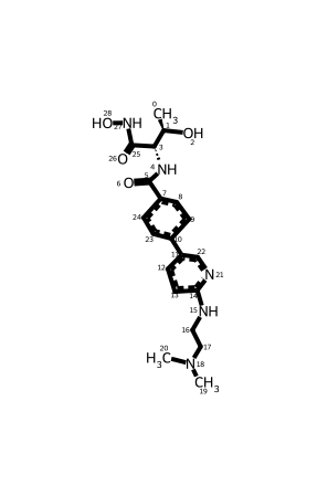 C[C@@H](O)[C@H](NC(=O)c1ccc(-c2ccc(NCCN(C)C)nc2)cc1)C(=O)NO